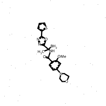 BC(C)(NC(=O)c1ccc(N2CCOCC2)cc1OC)c1nnc(-c2cccs2)o1